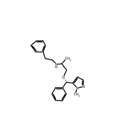 CC(CO[C@@H](c1ccccc1)c1ccnn1C)NCCc1ccccc1